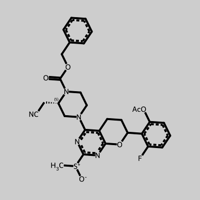 CC(=O)Oc1cccc(F)c1C1CCc2c(nc([S+](C)[O-])nc2N2CCN(C(=O)OCc3ccccc3)[C@@H](CC#N)C2)O1